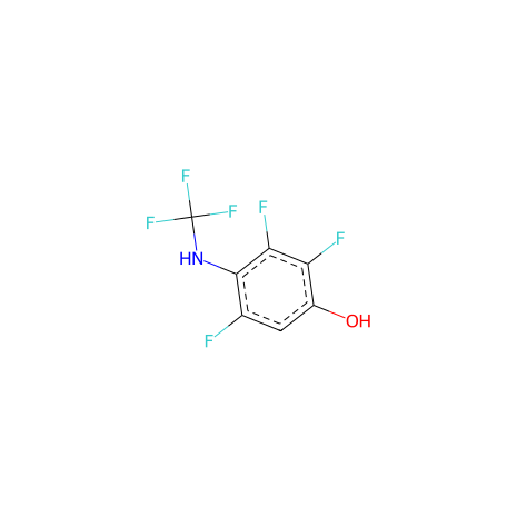 Oc1cc(F)c(NC(F)(F)F)c(F)c1F